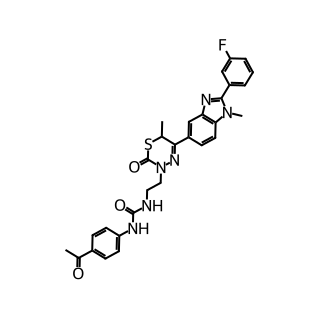 CC(=O)c1ccc(NC(=O)NCCN2N=C(c3ccc4c(c3)nc(-c3cccc(F)c3)n4C)C(C)SC2=O)cc1